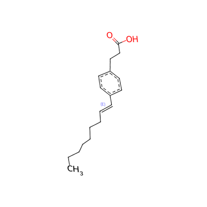 CCCCCCC/C=C/c1ccc(CCC(=O)O)cc1